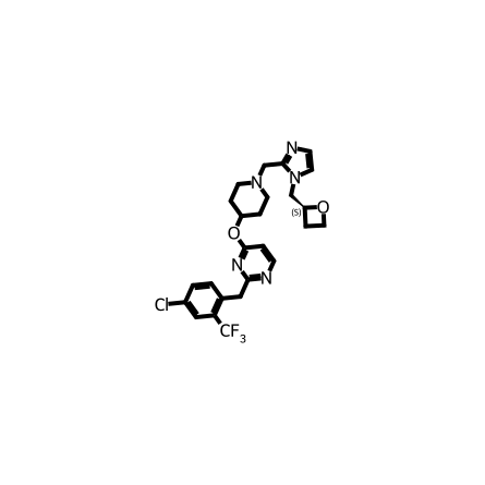 FC(F)(F)c1cc(Cl)ccc1Cc1nccc(OC2CCN(Cc3nccn3C[C@@H]3CCO3)CC2)n1